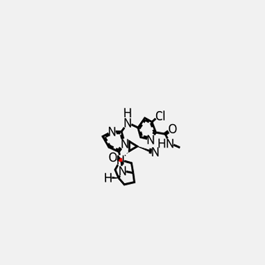 CNC(=O)c1ncc(Nc2nccc(N3CC4CC[C@H](C3)N4C(=O)[C@@H]3C[C@H]3C#N)n2)cc1Cl